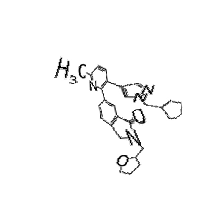 Cc1ccc(-c2cnn(CC3CCCC3)c2)c(-c2ccc3c(c2)C(=O)N(CC2CCCO2)C3)n1